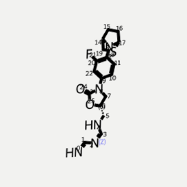 N=C/N=C\NC[C@H]1CN(c2ccc(N3C4CCC3SC4)c(F)c2)C(=O)O1